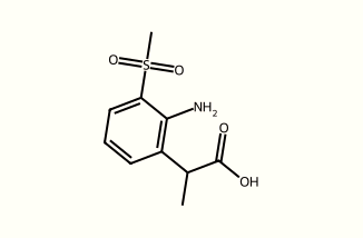 CC(C(=O)O)c1cccc(S(C)(=O)=O)c1N